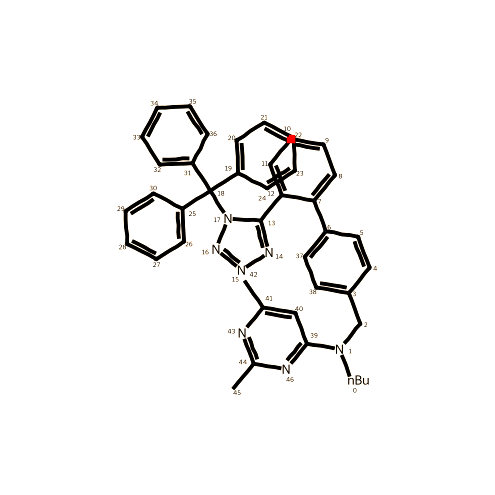 CCCCN(Cc1ccc(-c2ccccc2-c2nnnn2C(c2ccccc2)(c2ccccc2)c2ccccc2)cc1)c1cc(C)nc(C)n1